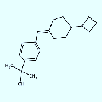 CC(C)(O)c1ccc(C=C2CCN(C3CCC3)CC2)cc1